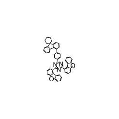 c1ccc2c(c1)-c1c(-c3ccc(-c4nc(-c5cccc6oc7ccccc7c56)nc(-c5cccc6oc7ccccc7c56)n4)cc3)cccc1C21CCCCC1